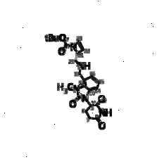 Cn1c(=O)n(C2CCC(=O)NC2=O)c2cccc(CNC[C@H]3C=CN3C(=O)OC(C)(C)C)c21